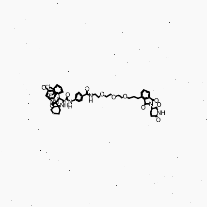 O=C1CCC(N2C(=O)c3cccc(CCCOCCOCCOCCNC(=O)c4ccc(NC(=O)[C@@H]5NC6(CCCCC6)[C@@]6(C(=O)Nc7cc(Cl)ccc76)[C@H]5c5cccc(Cl)c5F)cc4)c3C2=O)C(=O)N1